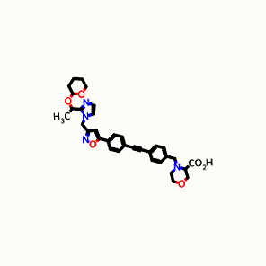 CC(OC1CCCCO1)c1nccn1Cc1cc(-c2ccc(C#Cc3ccc(CN4CCOCC4C(=O)O)cc3)cc2)on1